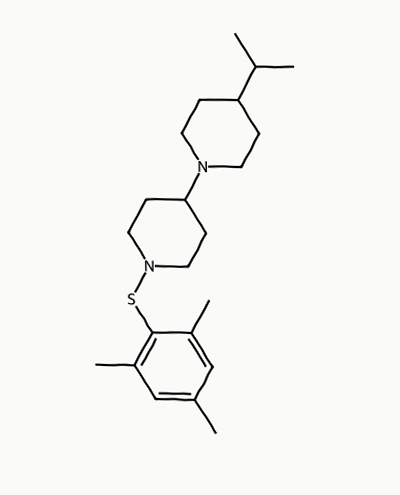 Cc1cc(C)c(SN2CCC(N3CCC(C(C)C)CC3)CC2)c(C)c1